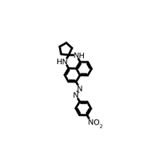 O=[N+]([O-])c1ccc(N=Nc2ccc3c4c(cccc24)NC2(CCCC2)N3)cc1